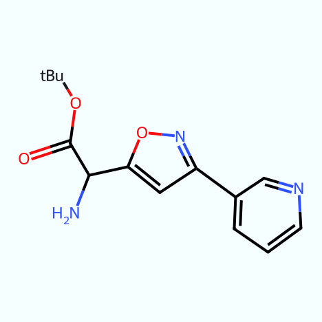 CC(C)(C)OC(=O)C(N)c1cc(-c2cccnc2)no1